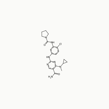 CN(c1nc(Nc2ccc(Cl)c(NC(=O)N3CCCC3)c2)ncc1C(N)=O)C1CC1